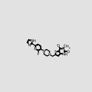 Cn1c(=O)[nH]c2cc(CN3CCN(c4ccc(-c5ncc[nH]5)nc4F)CC3)sc2c1=O